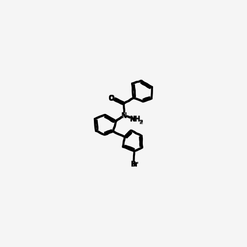 NN(C(=O)c1ccccc1)c1ccccc1-c1cccc(Br)c1